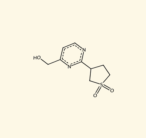 O=S1(=O)CCC(c2nccc(CO)n2)C1